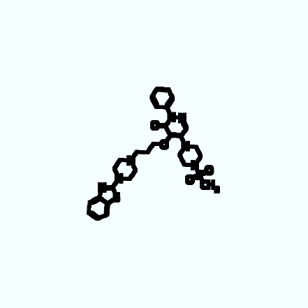 CS(=O)(=O)N1CCN(c2cnn(-c3ccccc3)c(=O)c2OCCCN2CCN(c3nc4ccccc4s3)CC2)CC1